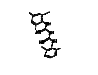 Cc1cc(C)c(NC(=N)NC(=N)Nc2c(C)cccc2C)c(C)c1